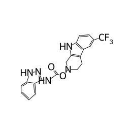 O=C(Nc1n[nH]c2ccccc12)ON1CCc2c([nH]c3ccc(C(F)(F)F)cc23)C1